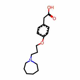 O=C(O)Cc1ccc(OCCCN2CCCCCC2)cc1